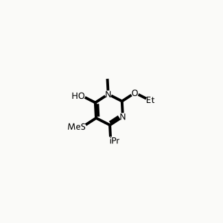 CCOC1N=C(C(C)C)C(SC)=C(O)N1C